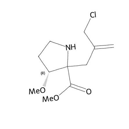 C=C(CCl)CC1(C(=O)OC)NCC[C@H]1OC